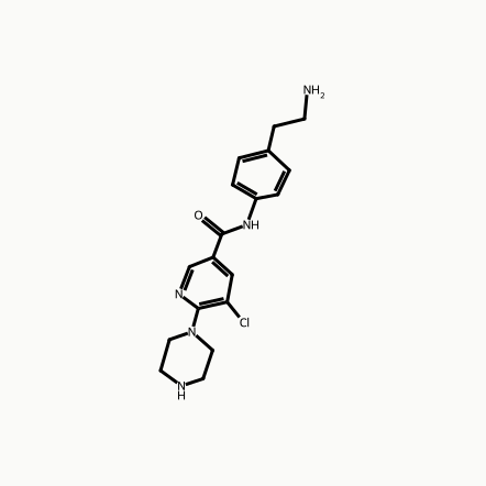 NCCc1ccc(NC(=O)c2cnc(N3CCNCC3)c(Cl)c2)cc1